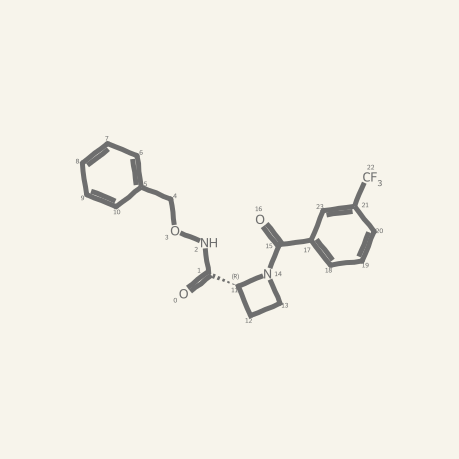 O=C(NOCc1ccccc1)[C@H]1CCN1C(=O)c1cccc(C(F)(F)F)c1